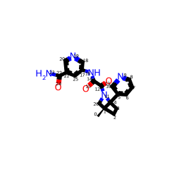 C[C@]12CCC1(c1cccnc1)N(C(=O)C(=O)Nc1cncc(C(N)=O)c1)C2